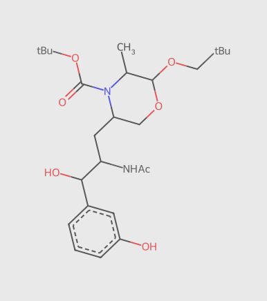 CC(=O)NC(CC1COC(OCC(C)(C)C)C(C)N1C(=O)OC(C)(C)C)C(O)c1cccc(O)c1